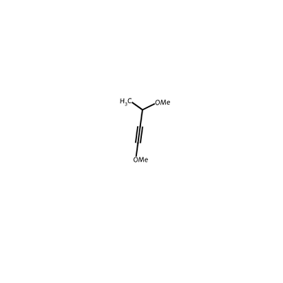 COC#CC(C)OC